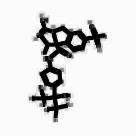 CC(C)C1(C(=O)Nc2ccc(C(O)(C(F)(F)F)C(F)(F)F)cc2)c2ccc(S(C)(=O)=O)cc2CN1C(=O)O